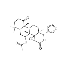 CC(=O)O[C@@H]1CC2C(C)(C)CCC(=O)[C@]2(C)C2CC[C@@]3(C)[C@H](c4ccoc4)OC(=O)C4OC43[C@@]21C